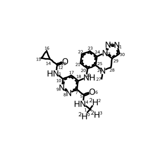 [2H]C([2H])([2H])NC(=O)c1nnc(NC(=O)C2CC2)cc1Nc1cccc2c1N(C)Cc1cnnn1-2